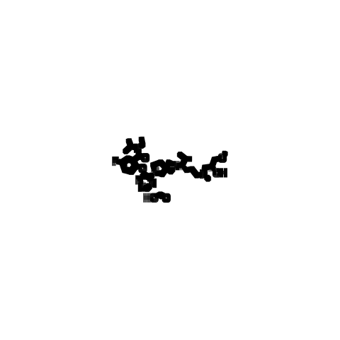 CCN(C(=O)c1cc(F)ccc1Oc1nncnc1N1CCC2(C1)CN([C@H](CCCN(C)C[C@H](O)COC)C(C)C)C2)C(C)C.O=CO